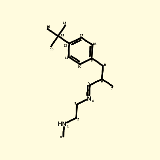 CNCC/N=C/C(C)Cc1ccc(C(C)(C)C)cc1